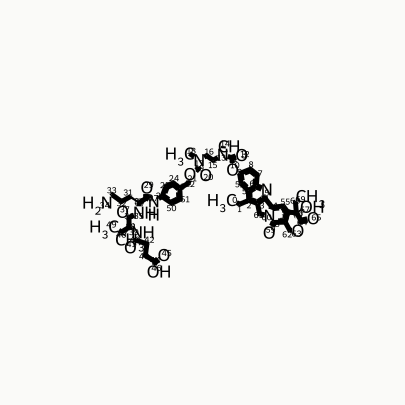 CCc1c2c(nc3ccc(OC(=O)N(C)CCN(C)C(=O)OCc4ccc(NC(=O)[C@H](CCCN)NC(=O)[C@@H](NC(=O)CCC(=O)O)C(C)C)cc4)cc13)-c1cc3c(c(=O)n1C2)COC(=O)[C@]3(O)CC